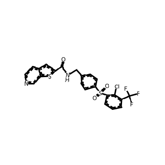 O=C(NCc1ccc(S(=O)(=O)c2cccc(C(F)(F)F)c2Cl)cc1)c1cc2ccncc2s1